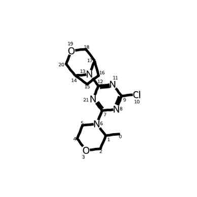 CC1COCCN1c1nc(Cl)nc(N2C3CCC2COC3)n1